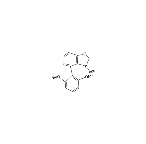 CCCCP1COc2cccc(-c3c(OC)cccc3OC)c21